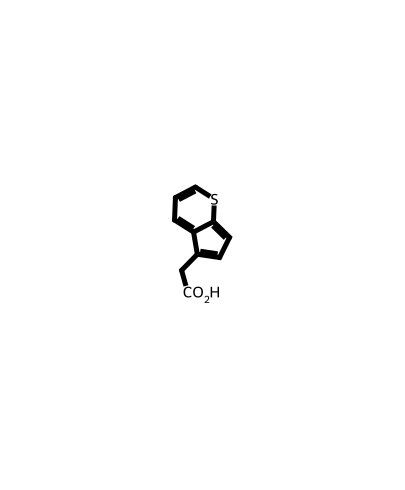 O=C(O)Cc1ccc2scccc1-2